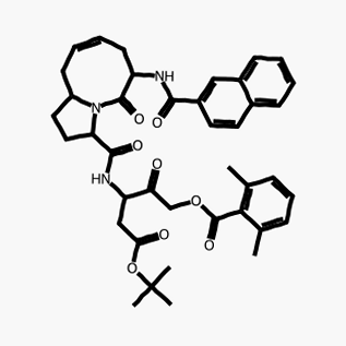 Cc1cccc(C)c1C(=O)OCC(=O)C(CC(=O)OC(C)(C)C)NC(=O)C1CCC2CC=CCC(NC(=O)c3ccc4ccccc4c3)C(=O)N21